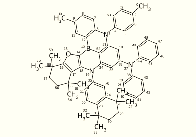 Cc1ccc(N2c3ccc(C)cc3B3c4oc5c(c4N(c4ccc6c(c4)C(C)(C)CCC6(C)C)c4cc(N(c6ccccc6)c6ccccc6)cc2c43)C(C)(C)CCC5(C)C)cc1